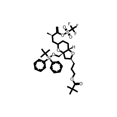 C=C(OS(=O)(=O)C(F)(F)F)[C@H](C)CC1CC[C@@H]2O[C@@H](CCCOC(=O)C(C)(C)C)C[C@]2(CO[Si](c2ccccc2)(c2ccccc2)C(C)(C)C)O1